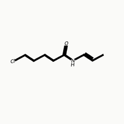 CC=CNC(=O)CCCCCl